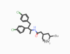 CCCCC(CC([CH2][InH2])CC(=O)NC(C)C(Cc1ccc(Cl)cc1)c1ccc(Cl)cc1)OC